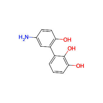 Nc1ccc(O)c(-c2cccc(O)c2O)c1